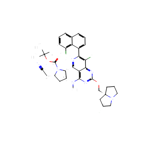 CN(c1nc(OC[C@@]23CCCN2C[C@H](F)C3)nc2c(F)c(-c3cccc4cccc(Cl)c34)ncc12)[C@@H]1C[C@H](CC#N)N(C(=O)OC(C)(C)C)C1